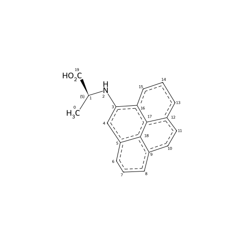 C[C@H](Nc1cc2cccc3ccc4cccc1c4c32)C(=O)O